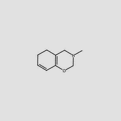 CN1COC2=C(CCC=C2)C1